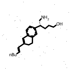 CCCC/C=C/C1=Cc2ccc([C@H](CN)CCCO)cc2CC1